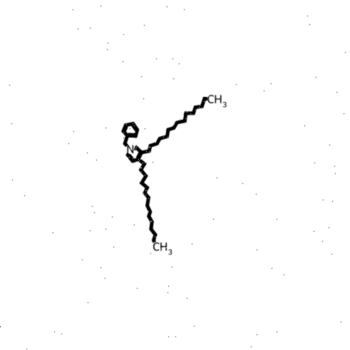 CCCCCCCCCCCCCCCc1cc[n+](Cc2ccccc2)cc1CCCCCCCCCCCCCCC